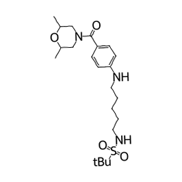 CC1CN(C(=O)c2ccc(NCCCCCNS(=O)(=O)C(C)(C)C)cc2)CC(C)O1